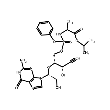 C#C[C@H](O)[C@@H](COP(=S)(N[C@@H](C)C(=O)OC(C)C)Oc1ccccc1)O[C@H](CO)n1cnc2c(=O)[nH]c(N)nc21